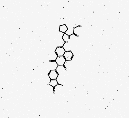 Cn1c(=O)[nH]c2ccc(N3C(=O)c4cccc5c(NCC6(NC(=O)OC(C)(C)C)CCCC6)ccc(c45)C3=O)cc21